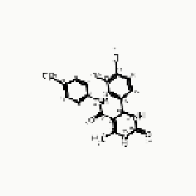 CC1=C(C(=O)Nc2ccc(Cl)cc2)C(c2ccc(Cl)c(Cl)c2)NC(=O)N1